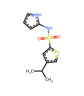 CC(C)c1csc(S(=O)(=O)Nc2ccc[nH]2)c1